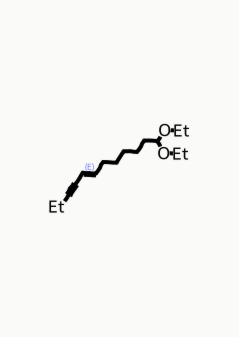 CCC#C/C=C/CCCCCC(OCC)OCC